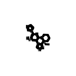 C=C(/N=C1\C(=C/N)n2cnnc2[C@]2(CC)CCCCN12)n1ccnc1